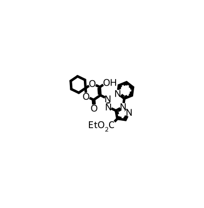 CCOC(=O)c1cnn(-c2ccccn2)c1N=NC1=C(O)OC2(CCCCC2)OC1=O